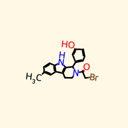 Cc1ccc2[nH]c3c(c2c1)CCN(C(=O)CBr)C3c1cccc(O)c1